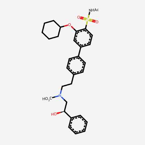 CC(=O)NS(=O)(=O)c1ccc(-c2ccc(CCN(C[C@H](O)c3ccccc3)C(=O)O)cc2)cc1OC1CCCCC1